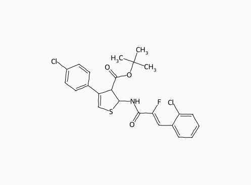 CC(C)(C)OC(=O)C1C(c2ccc(Cl)cc2)=CSC1NC(=O)/C(F)=C/c1ccccc1Cl